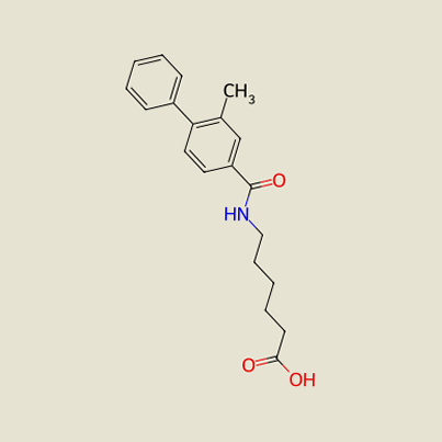 Cc1cc(C(=O)NCCCCCC(=O)O)ccc1-c1ccccc1